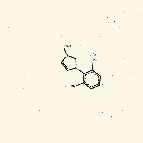 Br.CCCCCCN1C=CN(c2c(C(C)C)cccc2C(C)C)C1